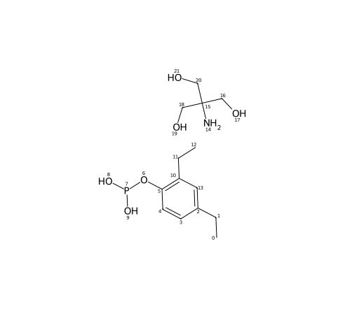 CCc1ccc(OP(O)O)c(CC)c1.NC(CO)(CO)CO